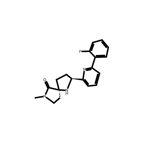 CN1CC[C@@]2(CC[C@@H](c3cccc(-c4ccccc4F)n3)N2)C1=O